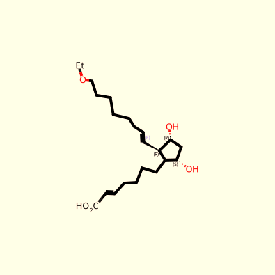 CCOCCCCCC/C=C/[C@@H]1C(CCCCC=CC(=O)O)[C@@H](O)C[C@H]1O